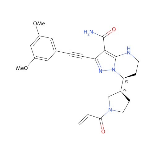 C=CC(=O)N1CC[C@H]([C@@H]2CCNc3c(C(N)=O)c(C#Cc4cc(OC)cc(OC)c4)nn32)C1